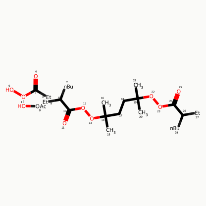 CC(=O)OO.CCC(=O)OO.CCCCC(CC)C(=O)OOC(C)(C)CCC(C)(C)OOC(=O)C(CC)CCCC